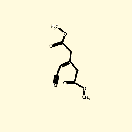 COC(=O)CC(=CC#N)CC(=O)OC